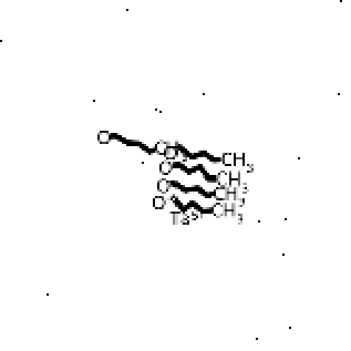 CCCCC[O-].CCCCC[O-].CCCCC[O-].CCCCC[O-].CCCCC[O-].[Ta+5]